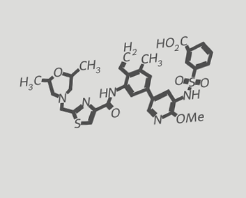 C=Cc1c(C)cc(-c2cnc(OC)c(NS(=O)(=O)c3cccc(C(=O)O)c3)c2)cc1NC(=O)c1csc(CN2CC(C)OC(C)C2)n1